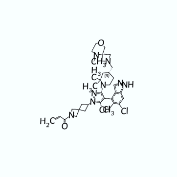 C=CC(=O)N1CC2(CC(n3nc(N4CC[C@@H](CN5CC6(COCCN6C)C5)CC4(C)C)c(-c4c(Cl)c(Cl)cc5[nH]ncc45)c3C)C2)C1